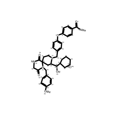 CNC(=O)c1ccc(Oc2ccc(CN3CCC4(CC3[C@H](O)C3CCCCC3)C(=O)NCC(=O)N4Cc3ccc(OC)cc3)cc2)cc1.Cl